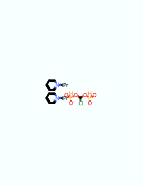 CC(C)[n+]1ccccc1.CC(C)[n+]1ccccc1.O=[PH]([O-])OC(Cl)O[PH](=O)[O-]